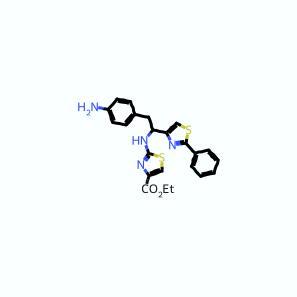 CCOC(=O)c1csc(NC(Cc2ccc(N)cc2)c2csc(-c3ccccc3)n2)n1